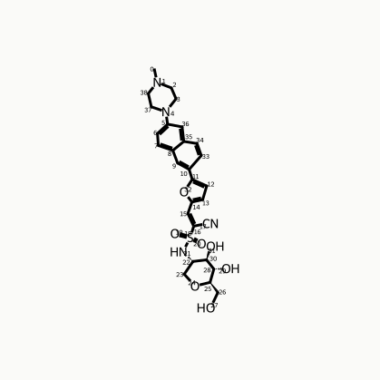 CN1CCN(c2ccc3cc(-c4ccc(/C=C(\C#N)S(=O)(=O)N[C@H]5CO[C@H](CO)[C@@H](O)[C@@H]5O)o4)ccc3c2)CC1